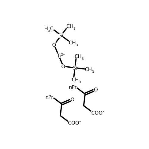 CCCC(=O)CC(=O)[O-].CCCC(=O)CC(=O)[O-].C[Si](C)(C)[O][Ti+2][O][Si](C)(C)C